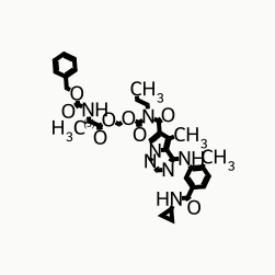 CCCN(C(=O)OCOC(=O)[C@H](C)NC(=O)OCc1ccccc1)C(=O)c1cn2ncnc(Nc3cc(C(=O)NC4CC4)ccc3C)c2c1C